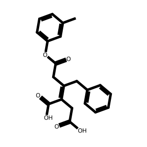 Cc1cccc(OC(=O)CC(Cc2ccccc2)=C(CC(=O)O)C(=O)O)c1